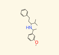 COc1cccc(C(C)NC(CCc2ccccc2)C(C)C)c1